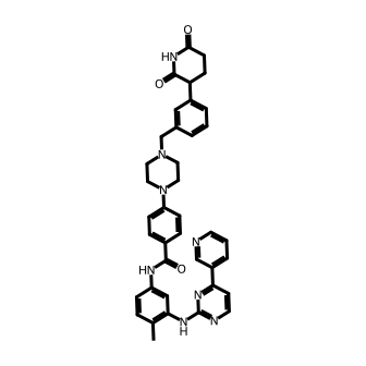 Cc1ccc(NC(=O)c2ccc(N3CCN(Cc4cccc(C5CCC(=O)NC5=O)c4)CC3)cc2)cc1Nc1nccc(-c2cccnc2)n1